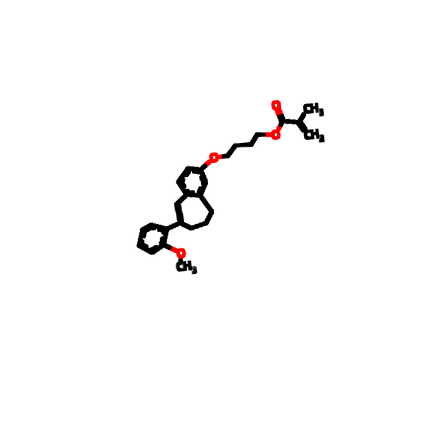 C=C(C)C(=O)OCCCCOc1ccc2c(c1)CCCC(c1ccccc1OC)=C2